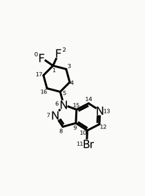 FC1(F)CCC(n2ncc3c(Br)cncc32)CC1